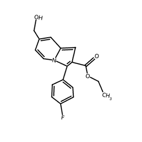 CCOC(=O)c1cc2cc(CO)ccn2c1-c1ccc(F)cc1